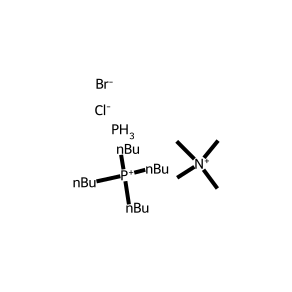 CCCC[P+](CCCC)(CCCC)CCCC.C[N+](C)(C)C.P.[Br-].[Cl-]